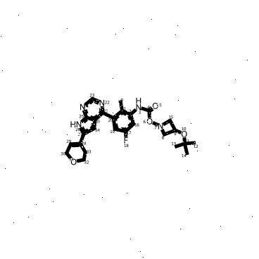 Cc1c(NC(=O)ON2CC(OC(C)(C)C)C2)cc(F)cc1-c1ncnc2[nH]c(C3=CCOCC3)cc12